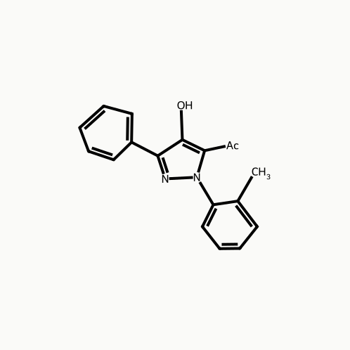 CC(=O)c1c(O)c(-c2ccccc2)nn1-c1ccccc1C